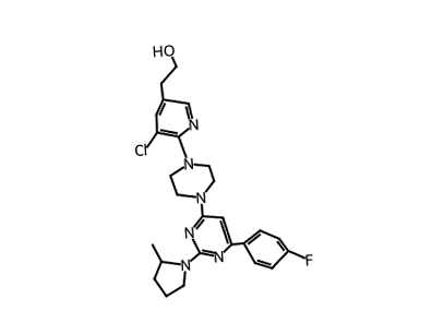 CC1CCCN1c1nc(-c2ccc(F)cc2)cc(N2CCN(c3ncc(CCO)cc3Cl)CC2)n1